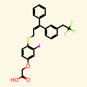 O=C(O)COc1ccc(SCC=C(c2ccccc2)c2cccc(CC(F)(F)F)c2)c(I)c1